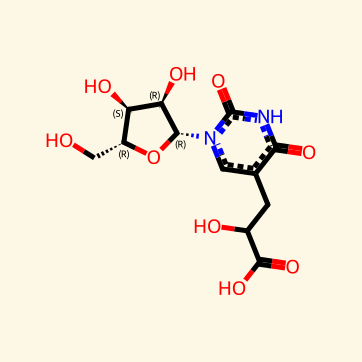 O=C(O)C(O)Cc1cn([C@@H]2O[C@H](CO)[C@@H](O)[C@H]2O)c(=O)[nH]c1=O